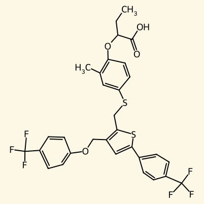 CCC(Oc1ccc(SCc2sc(-c3ccc(C(F)(F)F)cc3)cc2COc2ccc(C(F)(F)F)cc2)cc1C)C(=O)O